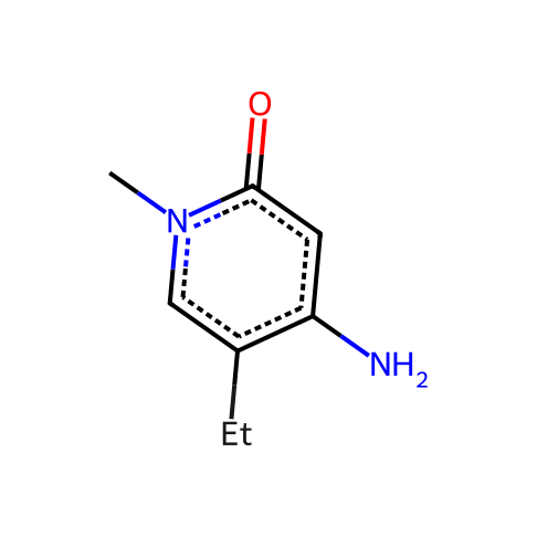 CCc1cn(C)c(=O)cc1N